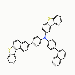 c1ccc2c(-c3ccc(N(c4ccc(-c5ccc6c(ccc7sc8ccccc8c76)c5)cc4)c4ccc5sc6ccccc6c5c4)cc3)cccc2c1